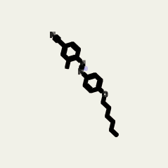 CCCCCCOc1ccc(/N=N/c2ccc(C#N)cc2C)cc1